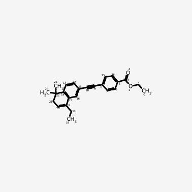 CCOC(=O)c1ccc(C#Cc2ccc3c(c2)C(CC)=CCC3(C)C)cc1